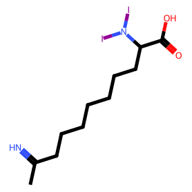 CC(=N)CCCCCCCC(C(=O)O)N(I)I